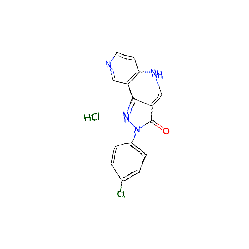 Cl.O=c1c2c[nH]c3ccncc3c-2nn1-c1ccc(Cl)cc1